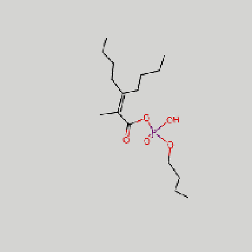 CCCCOP(=O)(O)OC(=O)C(C)=C(CCCC)CCCC